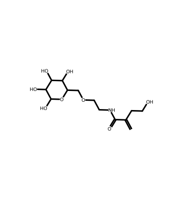 C=C(CCO)C(=O)NCCOCC1OC(O)C(O)C(O)C1O